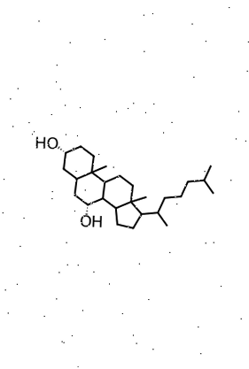 CC(C)CCCC(C)C1CCC2C3C(CCC12C)C1(C)CC[C@@H](O)CC1C[C@H]3O